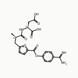 C[C@H](Cc1ccc(C(=O)Oc2ccc(C(=N)N)cc2)o1)C(=O)N[C@@H](CC(=O)O)C(=O)O